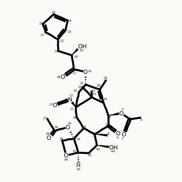 CC(=O)O[C@H]1C(=O)[C@@]2(C)C(C[C@]3(N=O)C[C@H](OC(=O)[C@H](O)Cc4ccccc4)C(C)=C1C3(C)C)[C@]1(OC(C)=O)CO[C@@H]1C[C@@H]2O